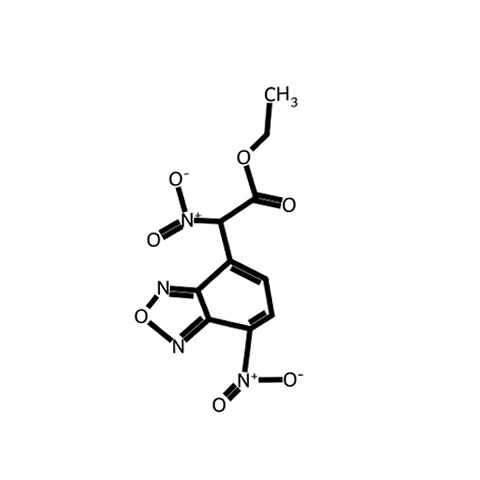 CCOC(=O)C(c1ccc([N+](=O)[O-])c2nonc12)[N+](=O)[O-]